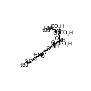 CC(C)(C)N[C@@H](CCC(=O)N[C@@H](CCC(=O)N[C@@H](CCC(=O)NCCOCCOCC(=O)NCCOCCOCC(=O)C(C)(C)C)C(=O)O)C(=O)O)C(=O)O